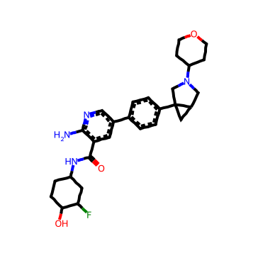 Nc1ncc(-c2ccc(C34CC3CN(C3CCOCC3)C4)cc2)cc1C(=O)NC1CCC(O)C(F)C1